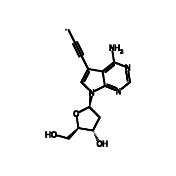 [CH2]C#Cc1cn([C@H]2C[C@H](O)[C@@H](CO)O2)c2ncnc(N)c12